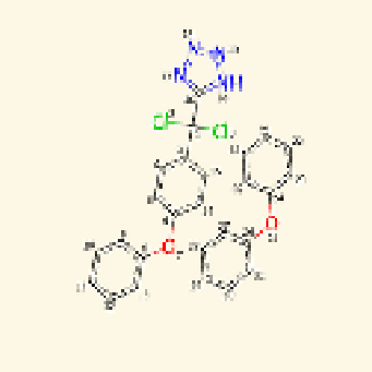 ClC(Cl)(c1ccc(Oc2ccccc2)cc1)c1nnn[nH]1.c1ccc(Oc2ccccc2)cc1